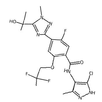 Cc1n[nH]c(Cl)c1NC(=O)c1cc(F)c(-c2nc(C(C)(C)O)n(C)n2)cc1OCC(C)(F)F